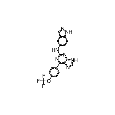 FC(F)(F)Oc1ccc(-c2nc(Nc3ccc4[nH]ncc4c3)nc3[nH]cnc23)cc1